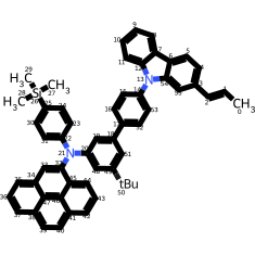 C/C=C/c1ccc2c3ccccc3n(-c3ccc(-c4cc(N(c5ccc([Si](C)(C)C)cc5)c5cc6cccc7ccc8cccc5c8c76)cc(C(C)(C)C)c4)cc3)c2c1